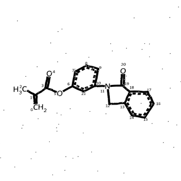 C=C(C)C(=O)Oc1cccc(N2Cc3ccccc3C2=O)c1